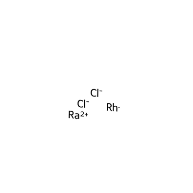 [Cl-].[Cl-].[Ra+2].[Rh]